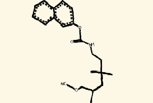 CC(COC#N)CC(C)(C)CCNC(=O)Oc1ccc2ccccc2c1